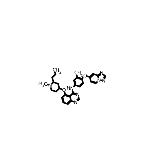 CCCC1CC(Oc2cccc3ncnc(Nc4ccc(Oc5ccn6ncnc6c5)c(C)c4)c23)CCN1C